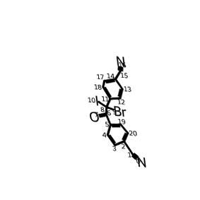 N#Cc1ccc(C(=O)C(Br)(I)c2ccc(C#N)cc2)cc1